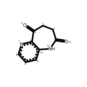 O=C1CCC(=O)c2ncccc2N1